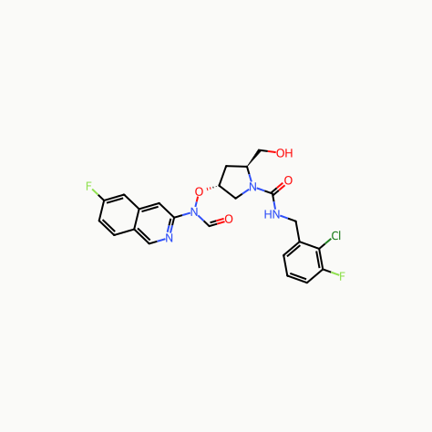 O=CN(O[C@@H]1C[C@@H](CO)N(C(=O)NCc2cccc(F)c2Cl)C1)c1cc2cc(F)ccc2cn1